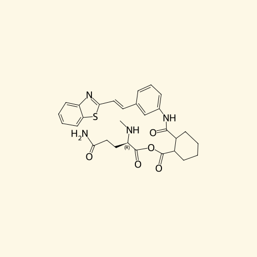 CN[C@H](CCC(N)=O)C(=O)OC(=O)C1CCCCC1C(=O)Nc1cccc(C=Cc2nc3ccccc3s2)c1